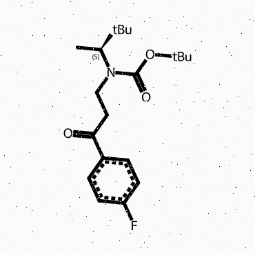 C[C@H](N(CCC(=O)c1ccc(F)cc1)C(=O)OC(C)(C)C)C(C)(C)C